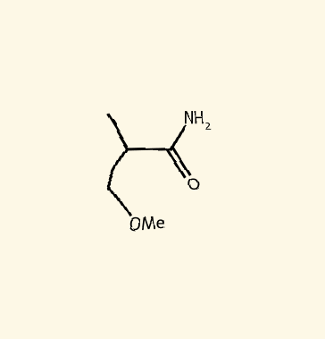 COCC(C)C(N)=O